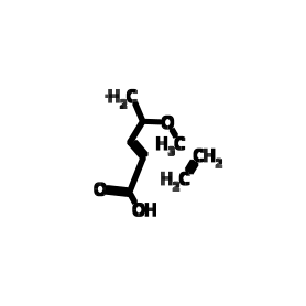 C=C.[CH2]C(C=CC(=O)O)OC